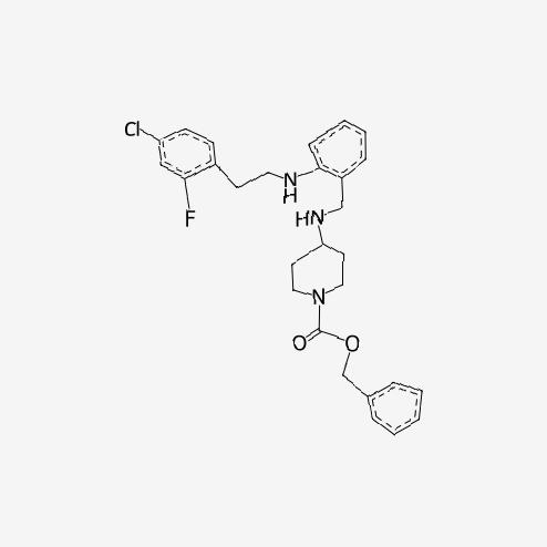 O=C(OCc1ccccc1)N1CCC(NCc2ccccc2NCCc2ccc(Cl)cc2F)CC1